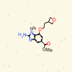 CCCn1c(N)nc2cc(C(=O)OC)cc(OCCC3COC3)c21